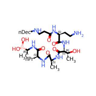 CCCCCCCCCCNCCC(=O)N[C@@H](CCN)C(=O)N[C@H](C(=O)N[C@@H](C)C(=O)N[C@@H](CCC)C(=O)N[C@@H](C)B(O)O)[C@@H](C)O